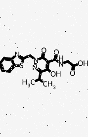 CC(C)c1nn(Cc2nc3ccccc3s2)c(=O)c(C(=O)NCC(=O)O)c1O